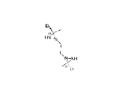 CC[C@@]1(C)NN1CCN1N[C@@]1(C)CC